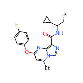 CCc1cc(Oc2ccc(F)cc2)nc2c(C(=O)NC(CC(C)C)C3CC3)ncn12